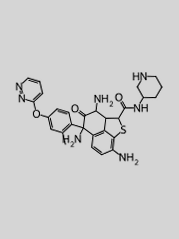 Cc1cc(Oc2cccnn2)ccc1C1(N)C(=O)C(N)C2c3c1ccc(N)c3SC2C(=O)NC1CCCNC1